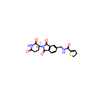 C[C@]1(N2C(=O)c3ccc(CNC(=O)C4=CCCS4)cc3C2=O)CCC(=O)NC1=O